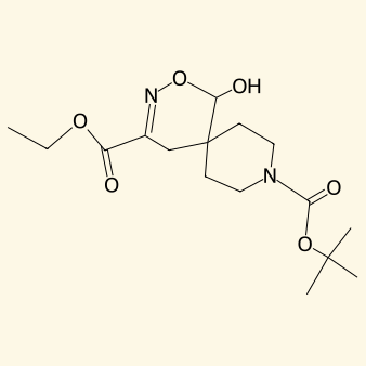 CCOC(=O)C1=NOC(O)C2(CCN(C(=O)OC(C)(C)C)CC2)C1